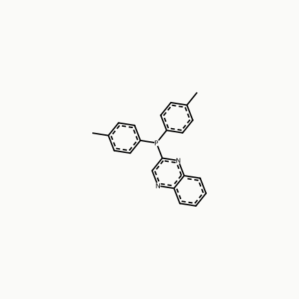 Cc1ccc(P(c2ccc(C)cc2)c2cnc3ccccc3n2)cc1